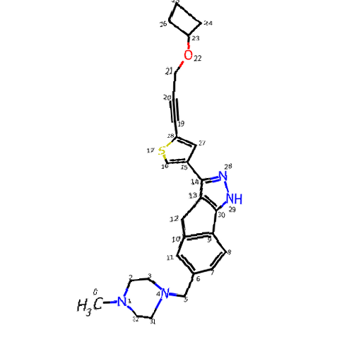 CN1CCN(Cc2ccc3c(c2)Cc2c(-c4csc(C#CCOC5CCC5)c4)n[nH]c2-3)CC1